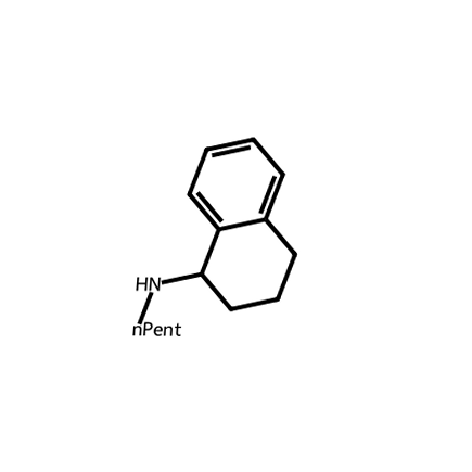 CCCCCNC1CCCc2ccccc21